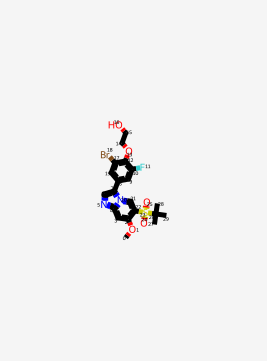 COc1cc2ncc(-c3cc(F)c(OCCO)c(Br)c3)n2cc1S(=O)(=O)C(C)(C)C